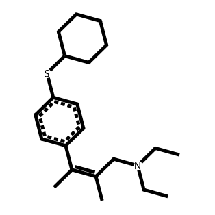 CCN(CC)CC(C)=C(C)c1ccc(SC2CCCCC2)cc1